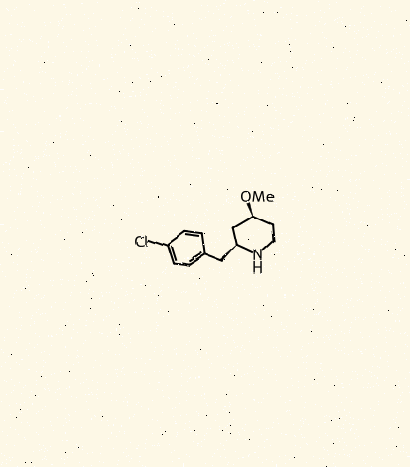 CO[C@H]1CCN[C@@H](Cc2ccc(Cl)cc2)C1